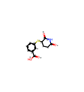 O=C1CCC(Sc2cccc(C(=O)O)c2)C(=O)N1